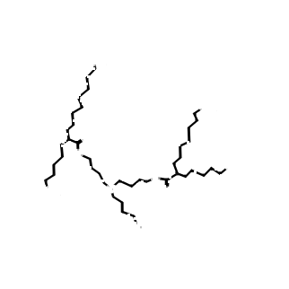 CCCCCCCCCC(CCCCCC)C(=O)OCCCCN(CCCCO)CCCCOC(=O)C(CCCCCC)CCCCCCCC